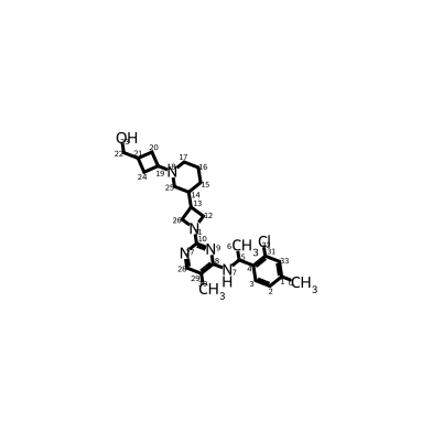 Cc1ccc(C(C)Nc2nc(N3CC(C4CCCN(C5CC(CO)C5)C4)C3)ncc2C)c(Cl)c1